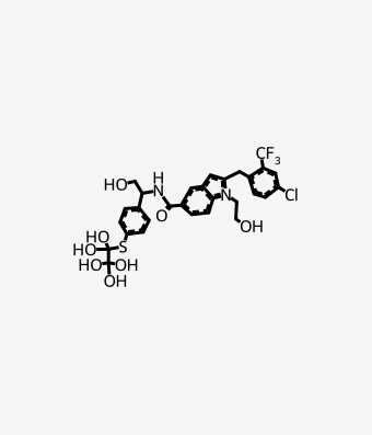 O=C(NC(CO)c1ccc(SC(O)(O)C(O)(O)O)cc1)c1ccc2c(c1)cc(Cc1ccc(Cl)cc1C(F)(F)F)n2CCO